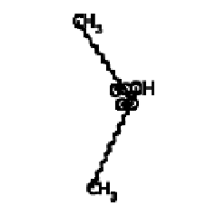 CCCCCCCCC=CCCCCCCCC(=O)OC(CO)COC(=O)CCCCCCCCCCCCCCC